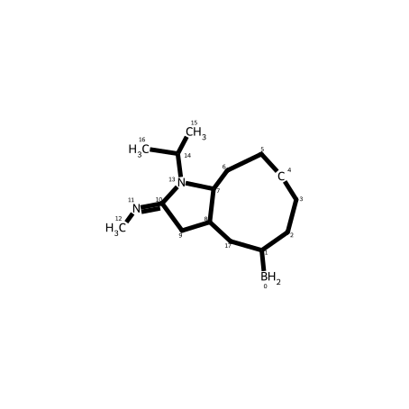 BC1CCCCCC2C(C/C(=N\C)N2C(C)C)C1